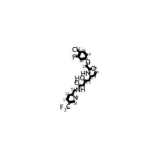 C=CC(C[C@@H](O)CC(=O)NCc1ccc(C(F)(F)F)cn1)NC(=O)COc1ccc(Cl)c(F)c1